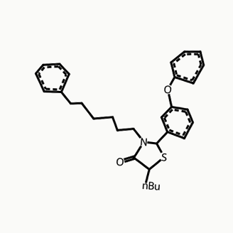 CCCCC1SC(c2cccc(Oc3ccccc3)c2)N(CCCCCCc2ccccc2)C1=O